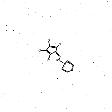 ClC1=C(Cl)C(Cl)=C(Cl)C1=NNc1ccccc1